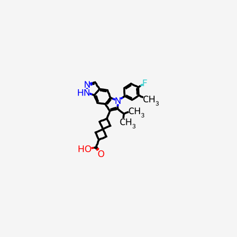 Cc1cc(-n2c(C(C)C)c(C3CC4(CC(C(=O)O)C4)C3)c3cc4[nH]ncc4cc32)ccc1F